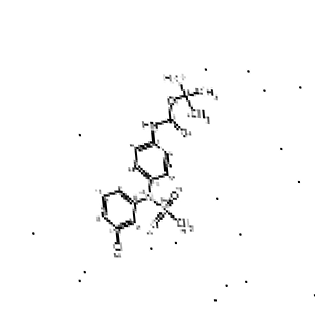 CC(C)(C)OC(=O)Nc1ccc(N(c2cccc(Cl)c2)S(C)(=O)=O)cc1